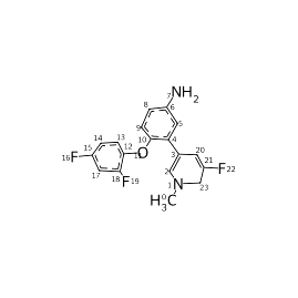 CN1C=C(c2cc(N)ccc2Oc2ccc(F)cc2F)C=C(F)C1